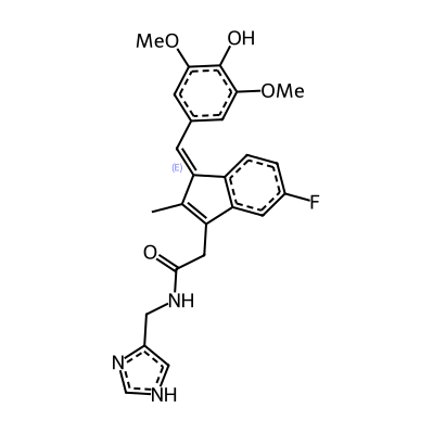 COc1cc(/C=C2/C(C)=C(CC(=O)NCc3c[nH]cn3)c3cc(F)ccc32)cc(OC)c1O